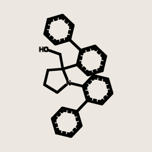 OCC1(c2ccccc2-c2ccccc2)CCCN1c1ccccc1-c1ccccc1